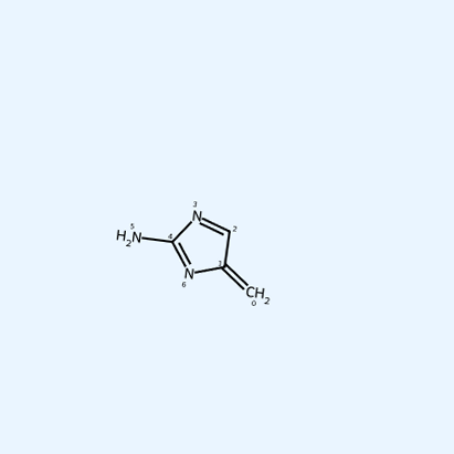 C=C1C=NC(N)=N1